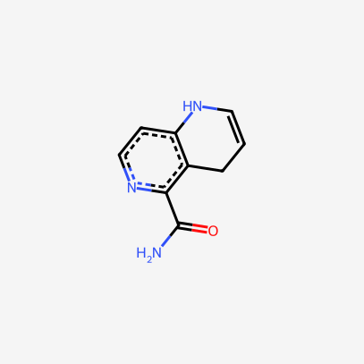 NC(=O)c1nccc2c1CC=CN2